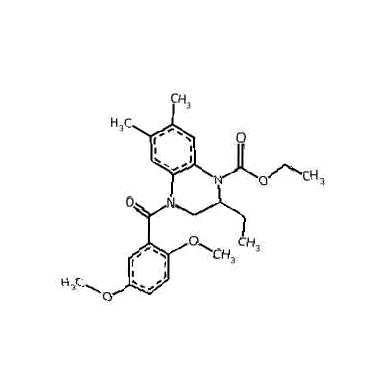 CCOC(=O)N1c2cc(C)c(C)cc2N(C(=O)c2cc(OC)ccc2OC)CC1CC